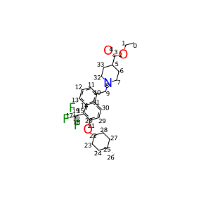 CCOC(=O)C1CCN(Cc2cccc3c(C(F)(F)F)c(O[C@H]4CC[C@@H](C)CC4)ccc23)CC1